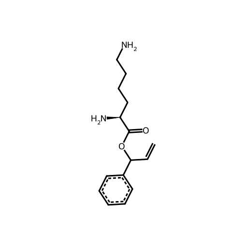 C=CC(OC(=O)[C@@H](N)CCCCN)c1ccccc1